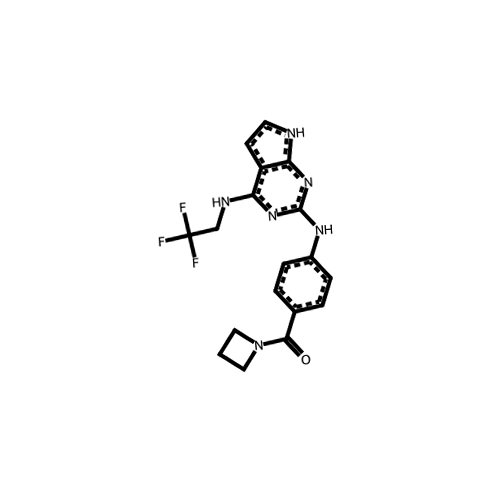 O=C(c1ccc(Nc2nc(NCC(F)(F)F)c3cc[nH]c3n2)cc1)N1CCC1